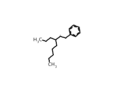 CCCCCC([CH]Cc1ccccc1)CCC